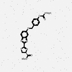 CCCCCCCC(=O)Oc1ccc(COc2ccc3nc(C4=N[C@@H](C(=O)OC)CS4)sc3c2)cc1